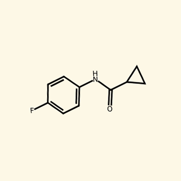 O=C(Nc1ccc(F)cc1)C1CC1